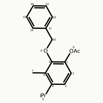 CC(=O)Oc1ccc(C(C)C)c(C)c1OCc1ccccc1